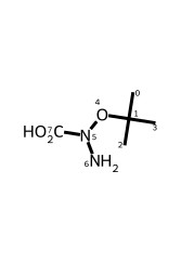 CC(C)(C)ON(N)C(=O)O